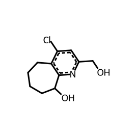 OCc1cc(Cl)c2c(n1)C(O)CCCC2